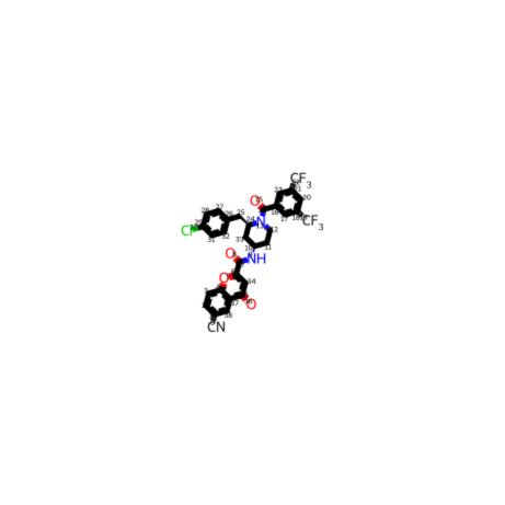 N#Cc1ccc2oc(C(=O)N[C@H]3CCN(C(=O)c4cc(C(F)(F)F)cc(C(F)(F)F)c4)[C@H](Cc4ccc(Cl)cc4)C3)cc(=O)c2c1